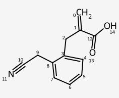 C=C(Cc1ccccc1CC#N)C(=O)O